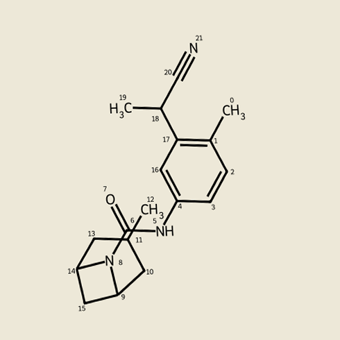 Cc1ccc(NC(=O)N2C3CC(C)CC2C3)cc1C(C)C#N